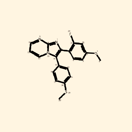 COc1ccc(-c2nc3ncccn3c2-c2ccc(SC)cc2)c(F)c1